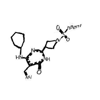 CCCCCS(=O)(=O)N1CC(c2nc(NC3CCCCC3)c(C=N)c(=O)[nH]2)C1